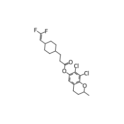 CC1CCc2cc(OC(=O)CCC3CCC(C=C(F)F)CC3)c(Cl)c(Cl)c2O1